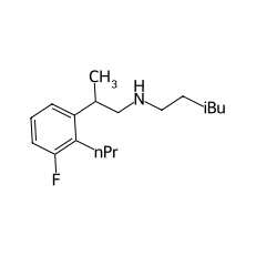 CCCc1c(F)cccc1C(C)CNCCC(C)CC